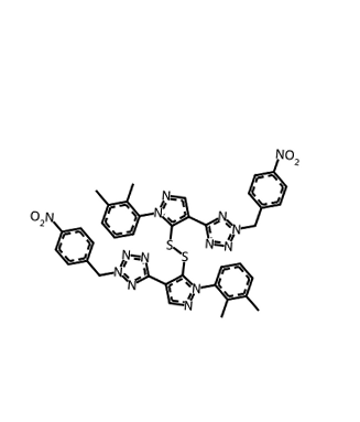 Cc1cccc(-n2ncc(-c3nnn(Cc4ccc([N+](=O)[O-])cc4)n3)c2SSc2c(-c3nnn(Cc4ccc([N+](=O)[O-])cc4)n3)cnn2-c2cccc(C)c2C)c1C